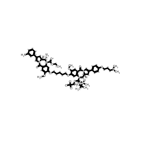 CCOC(=O)N1c2cc(OCCCCCOc3cc4c(cc3OC)C(=O)N3C=C(c5ccc(OCCCN(C)C)cc5)C[C@H]3[C@H](O[Si](C)(C)C(C)(C)C)N4C(=O)OCC(Cl)(Cl)Cl)c(OC)cc2C(=O)N2C=C(c3cccc(N)c3)C[C@H]2[C@@H]1C